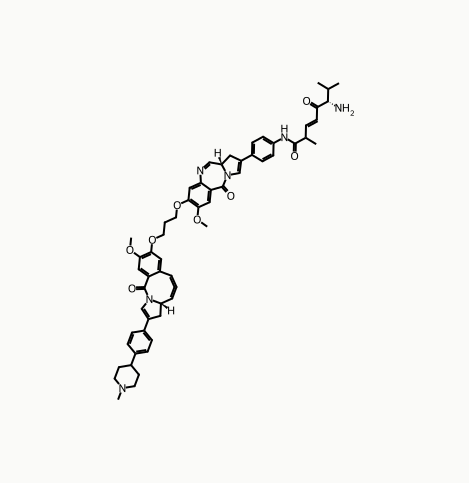 COc1cc2c(cc1OCCCOc1cc3c(cc1OC)C(=O)N1C=C(c4ccc(NC(=O)C(C)/C=C/C(=O)[C@@H](N)C(C)C)cc4)C[C@H]1C=N3)C=C=C[C@@H]1CC(c3ccc(C4CCN(C)CC4)cc3)=CN1C2=O